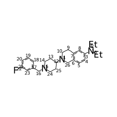 CCN(CC)c1ccc2c(c1)CCN(C1CCN(Cc3cccc(F)c3)CC1)C2